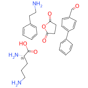 NCCC[C@H](N)C(=O)O.NCCc1ccccc1.O=C1CCC(=O)O1.O=Cc1ccc(-c2ccccc2)cc1